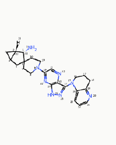 N[C@H]1[C@H]2CC2CC12CCN(c1cnc3c(N4CCCc5ncccc54)n[nH]c3n1)CC2